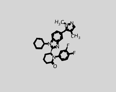 Cc1cnn(C)c1-c1ccc2c(c1)nc([C@@H]1CCCC(=O)N1c1ccc(F)c(F)c1)n2C1CCCCC1